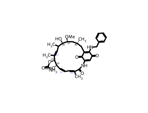 CO[C@H]1/C=C\C=C(/C)C(=O)NC2=CC(=O)C(NCc3ccccc3)=C(C[C@@H](C)C[C@H](OC)[C@H](O)C(C)/C=C(\C)[C@@H]1OC(N)=O)C2=O